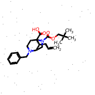 C=CCC1C2CN(C(=O)OCC(C)(C)C)C1(C(=O)O)CCN2Cc1ccccc1